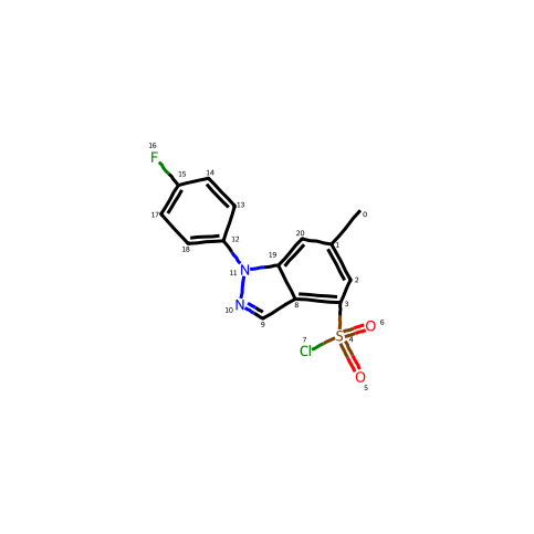 Cc1cc(S(=O)(=O)Cl)c2cnn(-c3ccc(F)cc3)c2c1